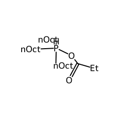 CCCCCCCC[PH](CCCCCCCC)(CCCCCCCC)OC(=O)CC